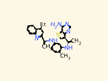 C=C(Nc1ccc(C)c(NC(=C)c2csc3c(N)ncnc23)c1)c1cc(CC)c2ccccc2n1